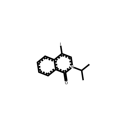 CC(C)n1cc(I)c2ccccc2c1=O